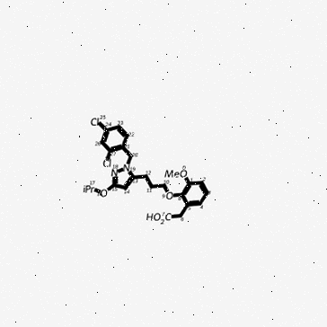 COc1cccc(CC(=O)O)c1OCCCc1cc(OC(C)C)nn1Cc1ccc(Cl)cc1Cl